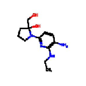 CCNc1nc(N2CCCC2(O)CO)ccc1N